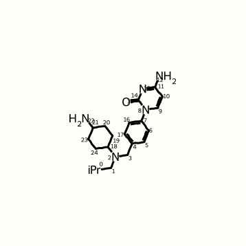 CC(C)CN(Cc1ccc(-n2ccc(N)nc2=O)cc1)C1CCC(N)CC1